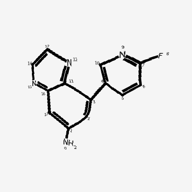 Nc1cc(-c2ccc(F)nc2)c2nccnc2c1